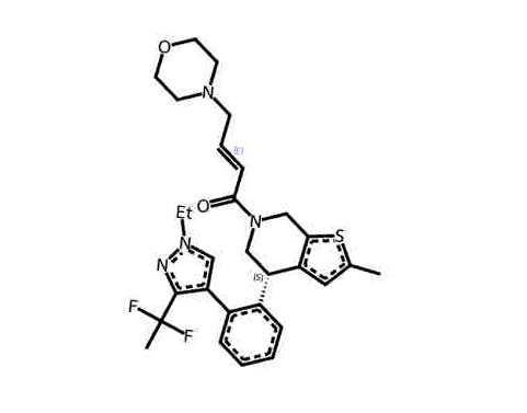 CCn1cc(-c2ccccc2[C@@H]2CN(C(=O)/C=C/CN3CCOCC3)Cc3sc(C)cc32)c(C(C)(F)F)n1